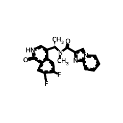 C[C@@H](c1c[nH]c(=O)c2cc(F)c(F)cc12)N(C)C(=O)c1cn2ccccc2n1